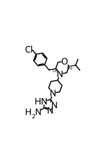 CC(C)[C@H]1CN(C2CCN(c3nnc(N)[nH]3)CC2)[C@@H](Cc2ccc(Cl)cc2)CO1